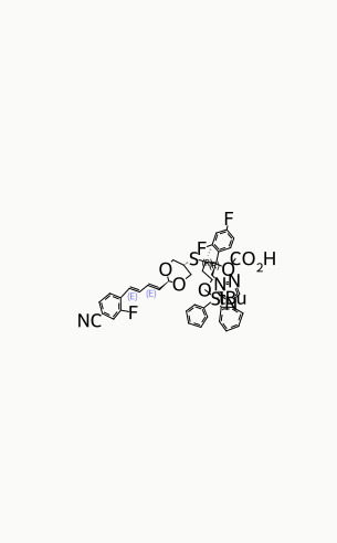 CC(C)(C)[Si](OCC[C@@](C)(S[C@H]1CO[C@H](/C=C/C=C/c2ccc(C#N)cc2F)OC1)[C@@](Cn1cncn1)(OC(=O)O)c1ccc(F)cc1F)(c1ccccc1)c1ccccc1